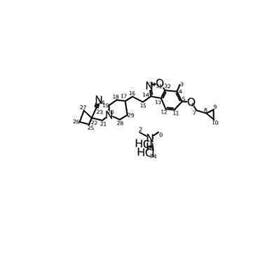 CNC.Cc1c(OCC2CC2)ccc2c(CCC3CCN(CC4(C#N)CCC4)CC3)noc12.Cl.Cl